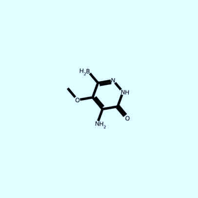 Bc1n[nH]c(=O)c(N)c1OC